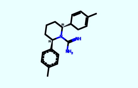 CC1=CCC([C@H]2CCC[C@H](c3ccc(C)cc3)N2C(=N)N)C=C1